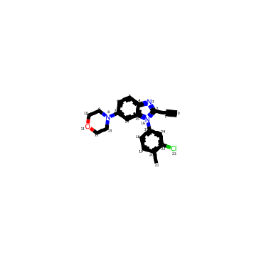 C#Cc1nc2ccc(N3CCOCC3)cc2n1-c1ccc(C)c(Cl)c1